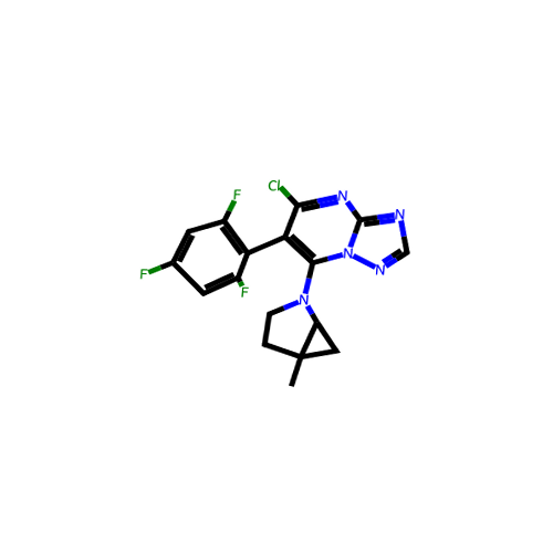 CC12CCN(c3c(-c4c(F)cc(F)cc4F)c(Cl)nc4ncnn34)C1C2